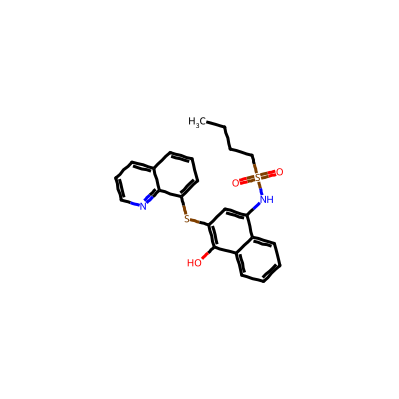 CCCCS(=O)(=O)Nc1cc(Sc2cccc3cccnc23)c(O)c2ccccc12